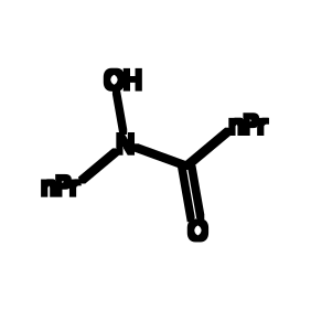 [CH2]CCC(=O)N(O)CCC